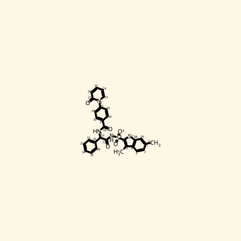 Cc1ccc2c(C)c(S(=O)(=O)NC(=O)C(NC(=O)c3ccc(-n4ccccc4=O)cc3)c3ccccc3)sc2c1